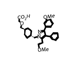 COCCc1c(-c2ccccc2)c(-c2cccc(OC)c2)nn1C[C@H]1CC[C@H](COCC(=O)O)CC1